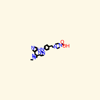 CCn1cc(-c2ccnc(Nc3ccc(CCN4CCN(C(=O)O)CC4)cc3)n2)c(-c2cccnc2)n1